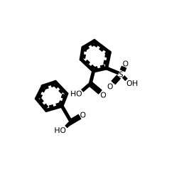 O=C(O)c1ccccc1.O=C(O)c1ccccc1S(=O)(=O)O